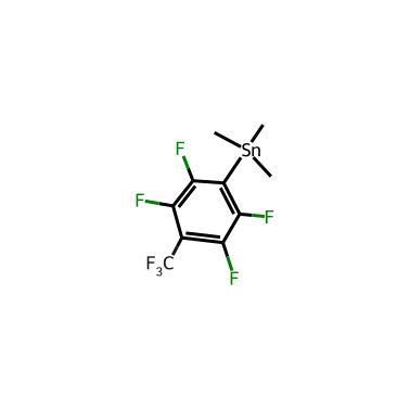 [CH3][Sn]([CH3])([CH3])[c]1c(F)c(F)c(C(F)(F)F)c(F)c1F